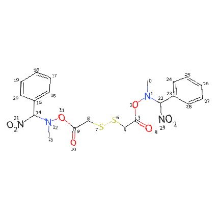 CN(OC(=O)CSSCC(=O)ON(C)C(c1ccccc1)[N+](=O)[O-])C(c1ccccc1)[N+](=O)[O-]